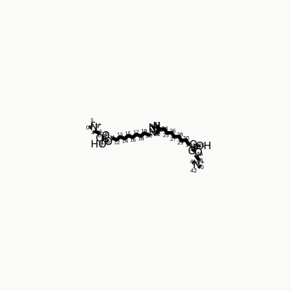 C[N+](C)(C)CCOP(=O)(O)OCCCCCCCCCCn1cc(CCCCCCCCOP(=O)(O)OCC[N+](C)(C)C)nn1